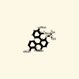 CCCCCCCCCc1cccc(-c2c(CCCCCCCCC)ccc(OP(O)O)c2-c2cccc(CCCCCCCCC)c2CCCCCCCCC)c1CCCCCCCCC